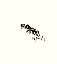 CC(C)(C)OC(=O)N1CCC(C(C)(C)S(=O)(=O)c2cccc(OC(F)(F)F)c2)CC1=O